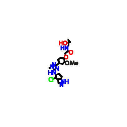 COC1CC(c2nc(Nc3ccc4[nH]ncc4c3Cl)n(C)n2)=CC=C1OCC(=O)NCC1(O)CC1